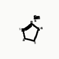 [C]1=NCCS1.[Sm]